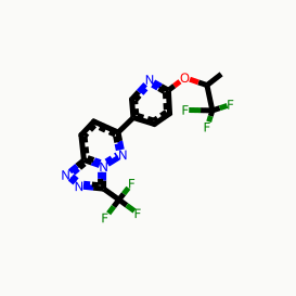 CC(Oc1ccc(-c2ccc3nnc(C(F)(F)F)n3n2)cn1)C(F)(F)F